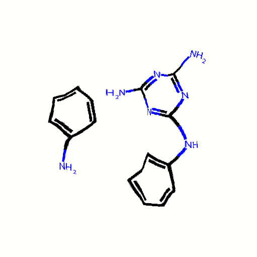 Nc1ccccc1.Nc1nc(N)nc(Nc2ccccc2)n1